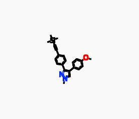 COc1ccc(-c2cn(C)nc2-c2ccc(C#C[Si](C)(C)C)cc2)cc1